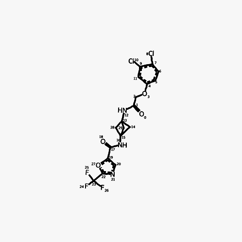 O=C(COc1ccc(Cl)c(Cl)c1)NC12CC(NC(=O)c3cnc(C(F)(F)F)o3)(C1)C2